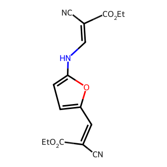 CCOC(=O)C(C#N)=CNc1ccc(C=C(C#N)C(=O)OCC)o1